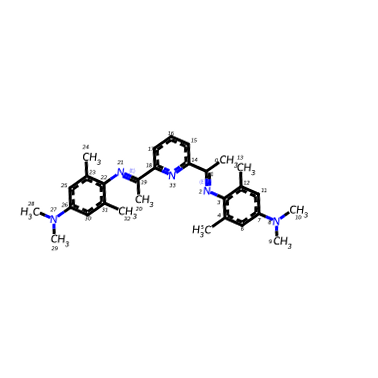 C/C(=N\c1c(C)cc(N(C)C)cc1C)c1cccc(/C(C)=N/c2c(C)cc(N(C)C)cc2C)n1